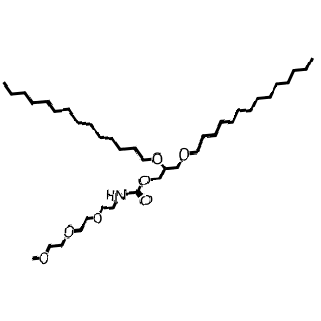 CCCCCCCCCCCCCCOCC(COC(=O)NCCOCCOCCOC)OCCCCCCCCCCCCCC